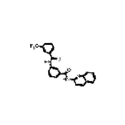 O=C(Nc1cccc(C(=O)Nc2ccc3ccccc3n2)c1)c1cccc(C(F)(F)F)c1